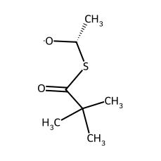 C[C@@H]([O])SC(=O)C(C)(C)C